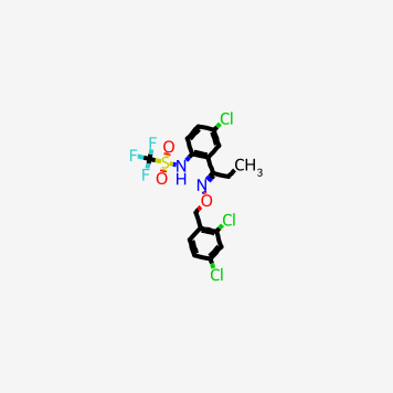 CC/C(=N\OCc1ccc(Cl)cc1Cl)c1cc(Cl)ccc1NS(=O)(=O)C(F)(F)F